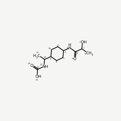 CC(O)C(=O)NC1CCC(C(C)NC(=O)O)CC1